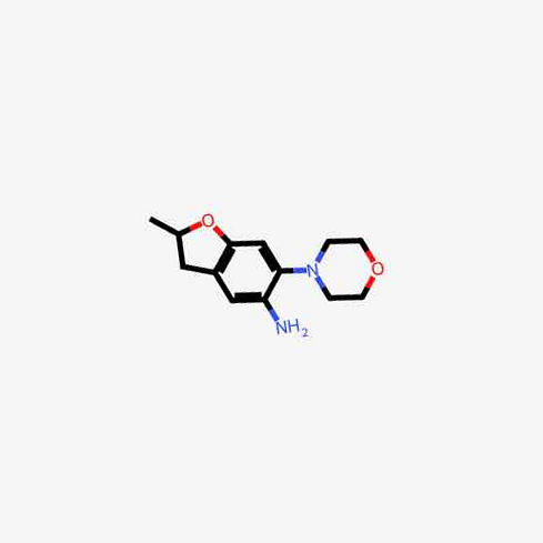 CC1Cc2cc(N)c(N3CCOCC3)cc2O1